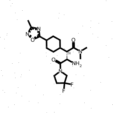 Cc1noc(C2CCC([C@H](C(=O)N(C)C)C(N)C(=O)N3CCC(F)(F)C3)CC2)n1